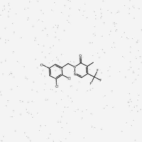 Cc1c(C(F)(F)F)cnn(Cc2cc(Cl)cc(Cl)c2Cl)c1=O